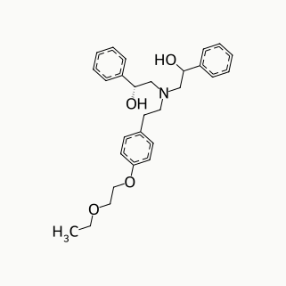 CCOCCOc1ccc(CCN(CC(O)c2ccccc2)C[C@H](O)c2ccccc2)cc1